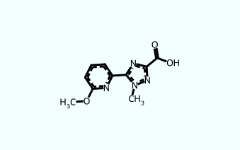 COc1cccc(-c2nc(C(=O)O)nn2C)n1